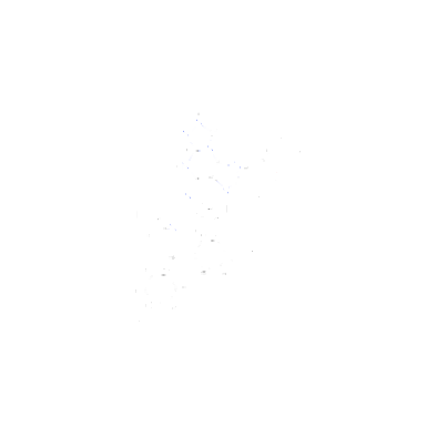 CC[C@@H]1CN(c2nc3nncn3c3c2nc(C)n3C[C@@H]2CCCO2)[C@@H](C)CN1C(O)C(c1ccc(F)cc1)c1ccc(F)cc1